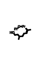 CC(C)=CCCC(C)CCO.CC(C)OC(C)C